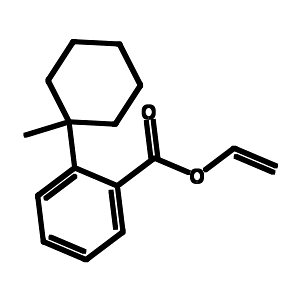 C=COC(=O)c1ccccc1C1(C)CCCCC1